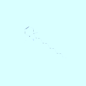 CCC(C)C1(C(=O)O)CC=CCC1(CCCCCCCCC(C)C)C(=O)O